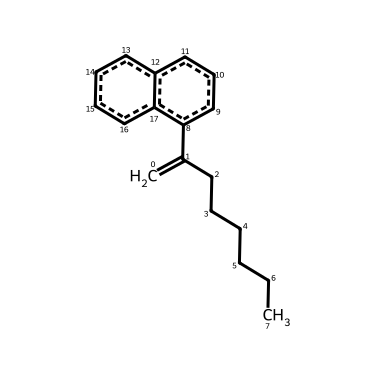 C=C(CCCCCC)c1cccc2ccccc12